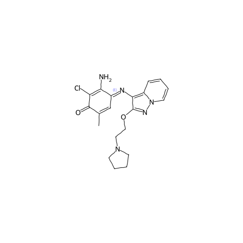 CC1=C/C(=N\c2c(OCCN3CCCC3)nn3ccccc23)C(N)=C(Cl)C1=O